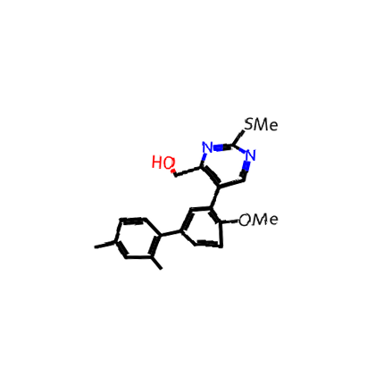 COc1ccc(-c2ccc(C)cc2C)cc1-c1cnc(SC)nc1CO